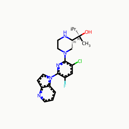 CC(C)[C@@](C)(O)[C@@H]1CN(c2nc(-n3ccc4ncccc43)c(F)cc2Cl)CCN1